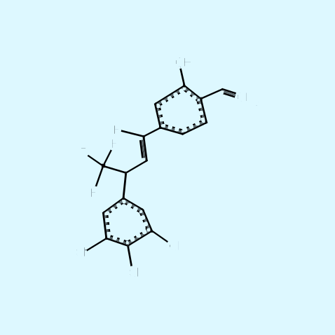 C=Cc1ccc(/C(F)=C/C(c2cc(Cl)c(Cl)c(Cl)c2)C(F)(F)F)cc1C